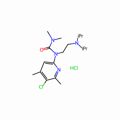 Cc1cc(N(CCN(C(C)C)C(C)C)C(=O)N(C)C)nc(C)c1Cl.Cl